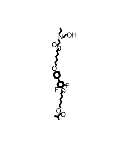 C=C(C)C(=O)OCCCCCCOc1c(F)cc(-c2ccc(OCCCCCCOC(=O)CCN(CCC)CCO)cc2)cc1F